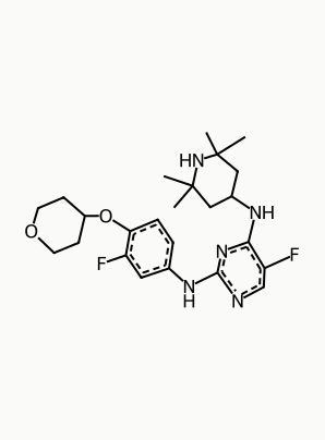 CC1(C)CC(Nc2nc(Nc3ccc(OC4CCOCC4)c(F)c3)ncc2F)CC(C)(C)N1